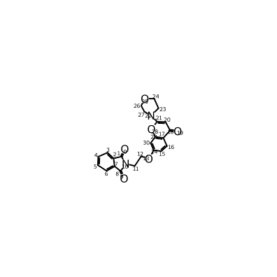 O=C1c2ccccc2C(=O)N1CCOc1ccc2c(=O)cc(N3CCOCC3)oc2c1